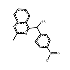 Cc1nc(C(N)c2ccc([N+](=O)[O-])cc2)c2ccccc2n1